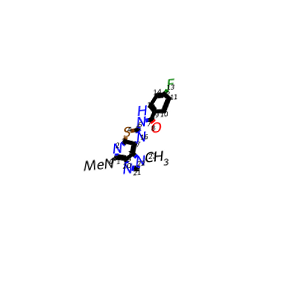 CNc1nc2sc(NC(=O)c3ccc(F)cc3)nc2c2c1ncn2C